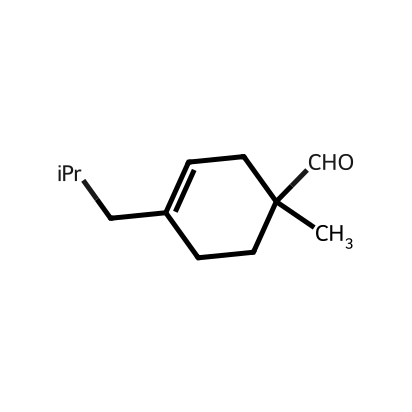 CC(C)CC1=CCC(C)(C=O)CC1